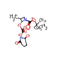 CC1CN(C(=O)OC(C)(C)C)C1OC(=O)ON1C(=O)CCC1=O